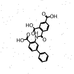 O=C(O)c1ccc(C(=O)Nc2cc(-c3ccccc3)ccc2C(=O)O)c(C(=O)O)c1